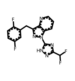 Fc1ccc(F)c(Cc2nn(-c3nc(C(F)F)n[nH]3)c3cccnc23)c1